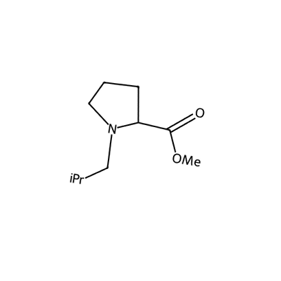 COC(=O)C1CCCN1CC(C)C